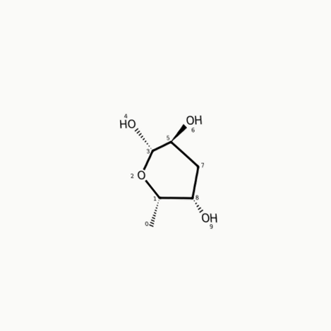 C[C@@H]1O[C@H](O)[C@@H](O)C[C@@H]1O